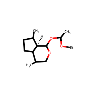 CCOC(C)OC1OCC(C)C2CCC(C)[C@@H]12